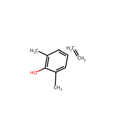 C=C.Cc1cccc(C)c1O